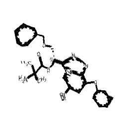 CC(C)(N)C(=O)N[C@H](COCc1ccccc1)c1nnc2c(Oc3ccccc3)cc(Br)cn12